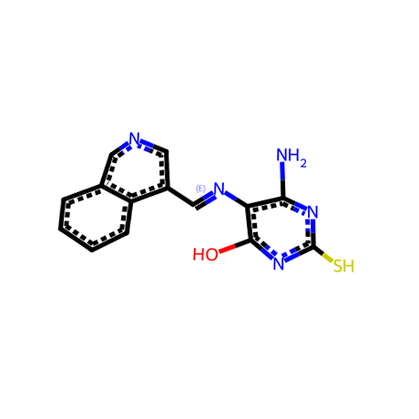 Nc1nc(S)nc(O)c1/N=C/c1cncc2ccccc12